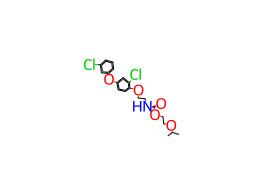 CC(C)OCCOC(=O)NCCOc1ccc(Oc2cccc(Cl)c2)cc1Cl